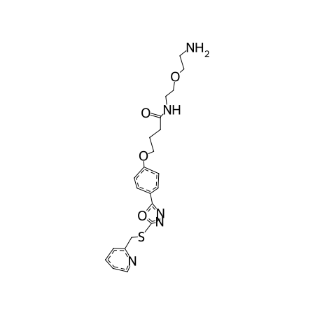 NCCOCCNC(=O)CCCOc1ccc(-c2nnc(SCc3ccccn3)o2)cc1